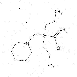 C=C(C)[Si](CCC)(CCC)CN1CCCCC1